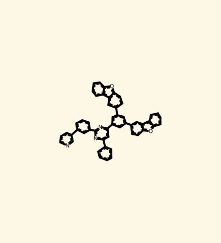 c1ccc(-c2cc(-c3cc(-c4ccc5oc6ccccc6c5c4)cc(-c4ccc5oc6ccccc6c5c4)c3)nc(-c3cccc(-c4cccnc4)c3)n2)cc1